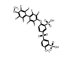 COc1c(F)c(F)c(-c2c(F)c(F)c(Oc3ccc(S(=O)(=O)c4ccc(C)c(S(=O)(=O)O)c4)cc3S(=O)(=O)O)c(F)c2F)c(F)c1F